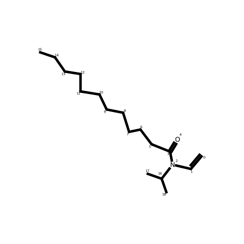 C=CN(C(=O)CCCCCCCCCCC)C(C)C